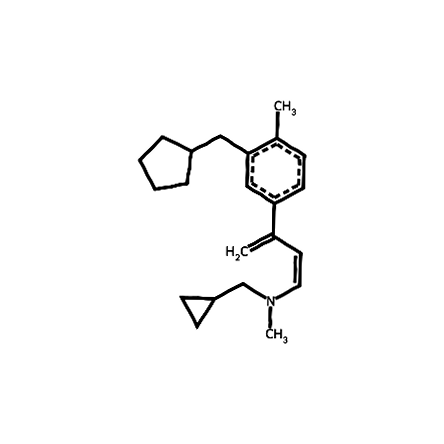 C=C(/C=C\N(C)CC1CC1)c1ccc(C)c(CC2CCCC2)c1